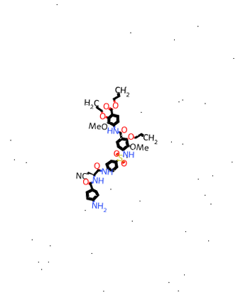 C=CCOC(=O)c1ccc(NC(=O)c2ccc(NS(=O)(=O)c3ccc(NC(=O)[C@H](CC#N)NC(=O)c4ccc(N)cc4)cc3)c(OC)c2OCC=C)c(OC)c1OCC=C